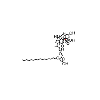 CCCCCCCCCCCCCCCCO[C@H]1CC(O)O[C@@H]1COCCC[C@@H](C)[C@H]1CC[C@H]2[C@@H]3[C@H](O)C[C@@H]4C[C@H](O)CC(P(=O)(O)O)[C@]4(C)[C@H]3C[C@H](O)[C@]12C